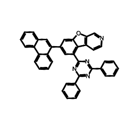 c1ccc(-c2nc(-c3ccccc3)nc(-c3cc(-c4cc5ccccc5c5ccccc45)cc4oc5cnccc5c34)n2)cc1